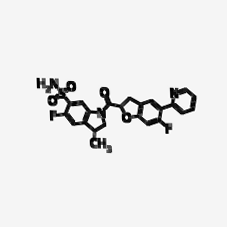 CC1CN(C(=O)C2Cc3cc(-c4ccccn4)c(F)cc3O2)c2cc(S(N)(=O)=O)c(F)cc21